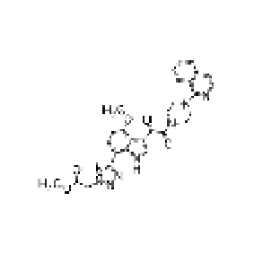 COC(=O)Cn1nnc(-c2ccc(OC)c3c(C(=O)C(=O)N4CCN(c5nccc6ccccc56)CC4)c[nH]c23)n1